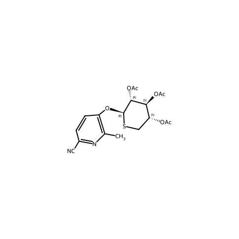 CC(=O)O[C@@H]1[C@@H](OC(C)=O)[C@H](OC(C)=O)CS[C@H]1Oc1ccc(C#N)nc1C